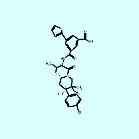 CC(C)[C@@H](NC(=O)c1cc(C(=O)O)cc(-c2cccs2)c1)C(=O)N1CC[C@](O)(c2ccc(Cl)cc2)C(C)(C)C1